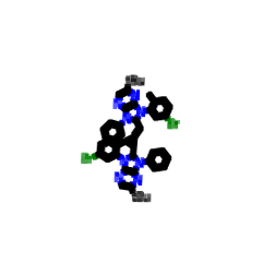 Cc1ccc(Br)cc1N1c2nc(C(C)(C)C)cnc2N(c2ccccc2)C1/C=C1\C2c3ccc(Br)cc3N3c4ncc(C(C)(C)C)nc4N(c4ccccc4)C3C12